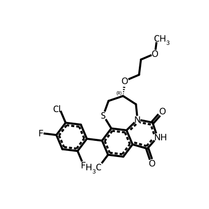 COCCO[C@H]1CSc2c(-c3cc(Cl)c(F)cc3F)c(C)cc3c(=O)[nH]c(=O)n(c23)C1